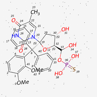 COc1cccc(C(c2ccccc2)(c2ccccc2)[C@]2(n3cc(C)c(=O)[nH]c3=O)C[C@H](O)[C@@H](C(O)OP(O)(O)=S)O2)c1OC